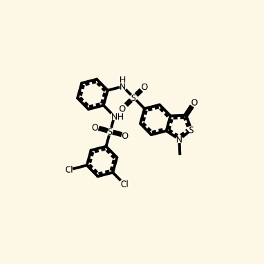 Cn1sc(=O)c2cc(S(=O)(=O)Nc3ccccc3NS(=O)(=O)c3cc(Cl)cc(Cl)c3)ccc21